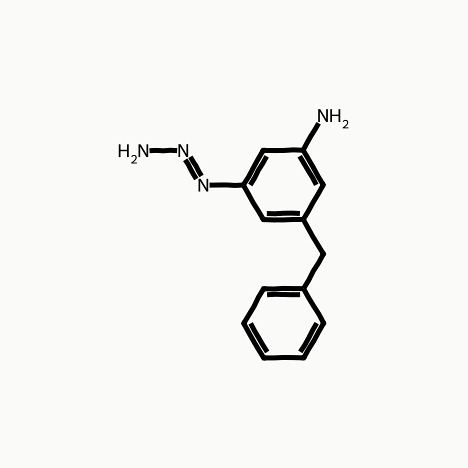 NN=Nc1cc(N)cc(Cc2ccccc2)c1